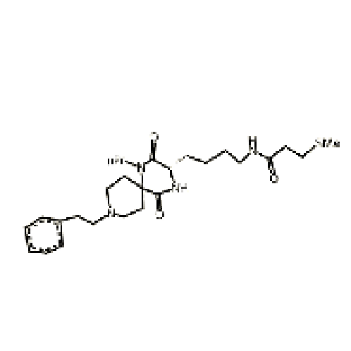 CCCN1C(=O)[C@H](CCCCNC(=O)CCSC)NC(=O)C12CCN(CCc1ccccc1)CC2